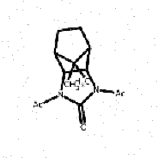 CC(=O)N1C(=O)N(C(C)=O)C2C1C1CCC2C1(C)C